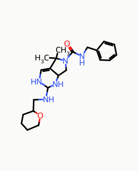 CC1(C)C2=CNC(NCC3CCCCO3)NC2CN1C(=O)NCc1ccccc1